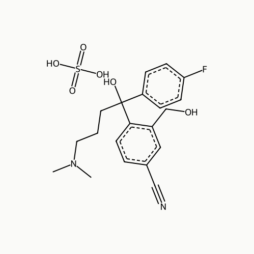 CN(C)CCCC(O)(c1ccc(F)cc1)c1ccc(C#N)cc1CO.O=S(=O)(O)O